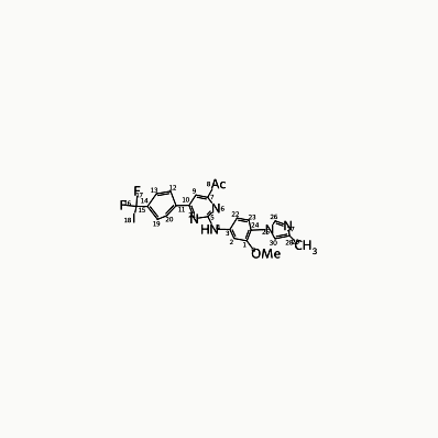 COc1cc(Nc2nc(C(C)=O)cc(-c3ccc(C(F)(F)I)cc3)n2)ccc1-n1cnc(C)c1